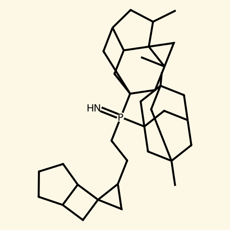 CC1CC2CC3(P(=N)(CCC4CC45CC4CCCC45)C45CC6CC(C)(CC(C)(C6)C4)C5)CC2C12CC2(C)C3